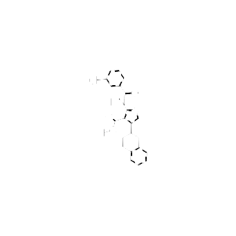 O=C(Nc1scc(C2CCc3ccccc3C2)c1C(=O)OI)c1cccc(Cl)c1